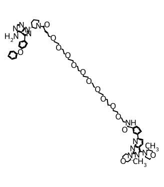 C[C@@H]1COCCN1c1nc(N2CCOC[C@H]2C)c2ccc(-c3cccc(C(=O)NCCOCCOCCOCCOCCOCCOCCOCCOCCOCCOC/C=C/C(=O)N4CCC[C@@H](n5nc(-c6ccc(Oc7ccccc7)cc6)c6c(N)ncnc65)C4)c3)nc2n1